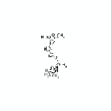 COC(=O)c1ccc(-c2cncc(-c3cc(OCC[C@H](C)CNC(=O)OC(C)(C)C)cs3)n2)cc1OC